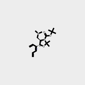 C=C/C=C(\C=C)[C@H]1OC(C)(C)N(C(=O)OC(C)(C)C)[C@@H]1CN(C)C